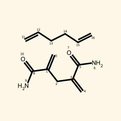 C=C(CC(=C)C(N)=O)C(N)=O.C=CCCC=C